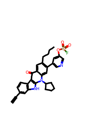 C#Cc1ccc2c(c1)[nH]c1c2c(=O)c2cc(CCCC)c(-c3cncc(OS(=O)(=O)F)c3)cc2n1C1CCCC1